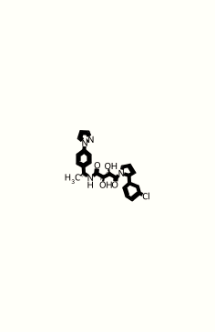 C[C@@H](NC(=O)[C@H](O)[C@@H](O)C(=O)N1CC=CC1C1C=CC=C(Cl)C1)c1ccc(-n2cccn2)cc1